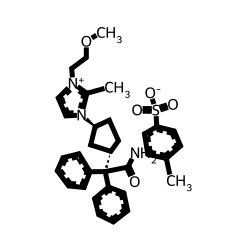 COCC[n+]1ccn([C@H]2CC[C@H](C(C(N)=O)(c3ccccc3)c3ccccc3)C2)c1C.Cc1ccc(S(=O)(=O)[O-])cc1